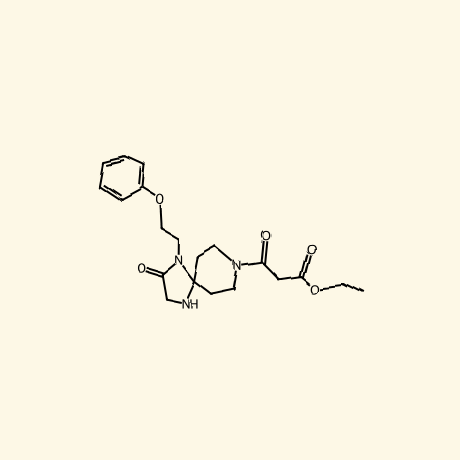 CCOC(=O)CC(=O)N1CCC2(CC1)NCC(=O)N2CCOc1ccccc1